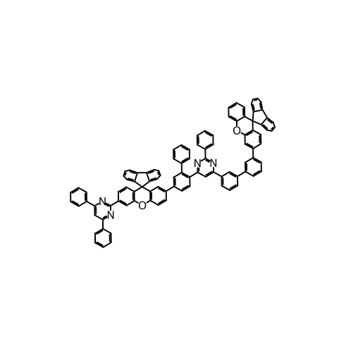 c1ccc(-c2cc(-c3ccccc3)nc(-c3ccc4c(c3)Oc3ccc(-c5ccc(-c6cc(-c7cccc(-c8cccc(-c9ccc%10c(c9)Oc9ccccc9C%109c%10ccccc%10-c%10ccccc%109)c8)c7)nc(-c7ccccc7)n6)c(-c6ccccc6)c5)cc3C43c4ccccc4-c4ccccc43)n2)cc1